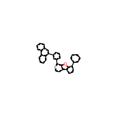 c1ccc(-c2cccc3c2oc2c(-c4cccc(-c5cc6ccccc6c6ccccc56)c4)cccc23)cc1